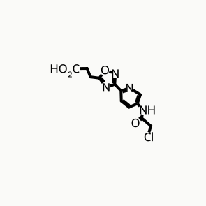 O=C(O)CCc1nc(-c2ccc(NC(=O)CCl)cn2)no1